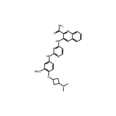 COc1cc(Nc2nccc(Nc3cc4ccccc4nc3C(N)=O)n2)ccc1OC1CC(N(C)C)C1